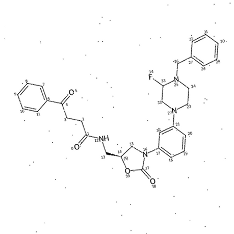 O=C(CCC(=O)c1ccccc1)NC[C@H]1CN(c2cccc(N3CCN(Cc4ccccc4)C(F)C3)c2)C(=O)O1